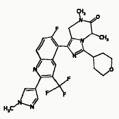 CC1C(=O)N(C)Cc2c(-c3c(F)ccc4nc(-c5cnn(C)c5)c(C(F)(F)F)cc34)nc(C3CCOCC3)n21